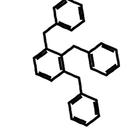 [c]1ccc(Cc2ccccc2)c(Cc2ccccc2)c1Cc1ccccc1